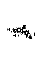 CCn1c(-c2ccc3[nH]c(=O)oc3c2)c(C#N)c2ccc(OC)cc21